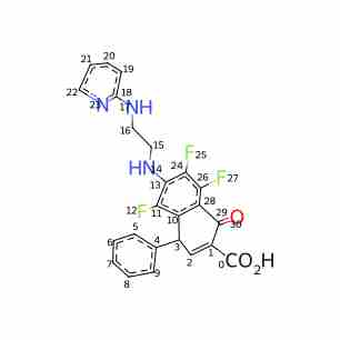 O=C(O)C1=CC(c2ccccc2)c2c(F)c(NCCNc3ccccn3)c(F)c(F)c2C1=O